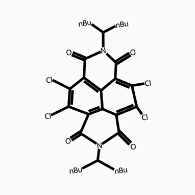 CCCCC(CCCC)N1C(=O)c2c(Cl)c(Cl)c3c4c(c(Cl)c(Cl)c(c24)C1=O)C(=O)N(C(CCCC)CCCC)C3=O